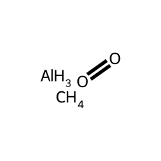 C.O=O.[AlH3]